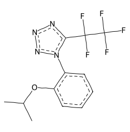 CC(C)Oc1ccccc1-n1nnnc1C(F)(F)C(F)(F)F